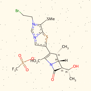 CSc1c2sc(C3=C(C(=O)O)N4C(=O)[C@H]([C@@H](C)O)[C@H]4[C@H]3C)c[n+]2cn1CCBr.O=S(=O)([O-])C(F)(F)F